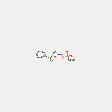 CCCCCCCCS(=O)(=O)ON=C1C=CC(=C(C#N)c2ccccc2)S1